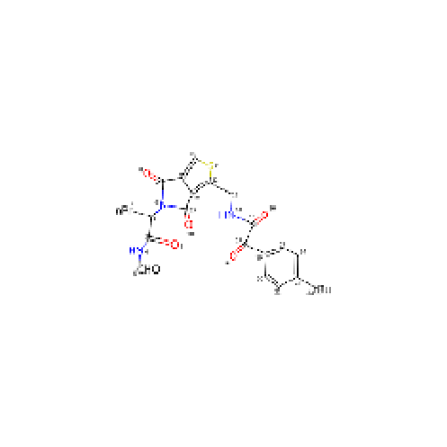 CCCC(C(=O)NC=O)N1C(=O)c2csc(CNC(=O)C(=O)c3ccc(C(C)(C)C)cc3)c2C1=O